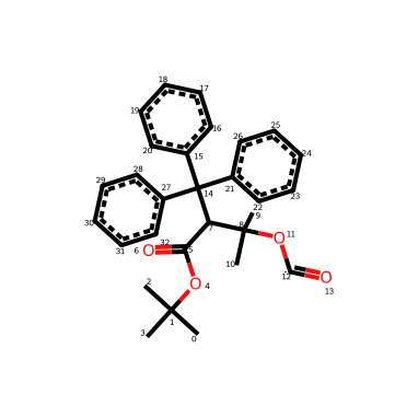 CC(C)(C)OC(=O)C(C(C)(C)O[C]=O)C(c1ccccc1)(c1ccccc1)c1ccccc1